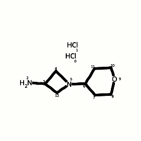 Cl.Cl.NC1CN(C2CCOCC2)C1